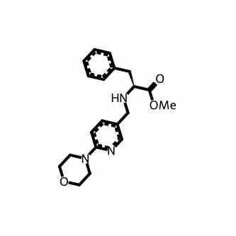 COC(=O)[C@H](Cc1ccccc1)NCc1ccc(N2CCOCC2)nc1